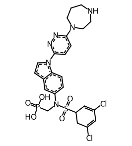 O=P(O)(O)CN(c1ccc2c(ccn2-c2ccc(N3CCCNCC3)nn2)c1)S(=O)(=O)C1C=C(Cl)C=C(Cl)C1